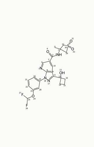 CC1(NC(=O)c2cnc3c(c2)c(C2(O)CCC2)nn3-c2cccc(OC(F)F)c2)CS(=O)(=O)C1